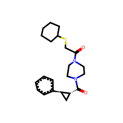 O=C(CSC1CCCCC1)N1CCN(C(=O)[C@@H]2C[C@H]2c2ccccc2)CC1